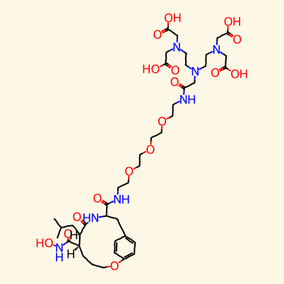 CC(C)C[C@H]1C(=O)NC(C(=O)NCCOCCOCCOCCNC(=O)CN(CCN(CC(=O)O)CC(=O)O)CCN(CC(=O)O)CC(=O)O)Cc2ccc(cc2)OCCC[C@@H]1C(=O)NO